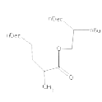 CCCCCCCCCCCCC(C)C(=O)OCC(CCCC)CCCCCCCCCC